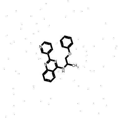 CC(COc1ccccc1)Nc1nc(-c2cccnc2)nc2ccccc12